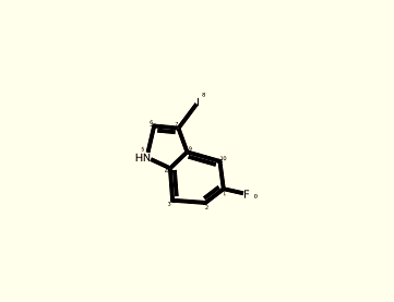 Fc1ccc2[nH][c]c(I)c2c1